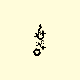 C=CCN1C(C)(C)CC(OC(=O)Nc2ccccc2)CC1(C)C